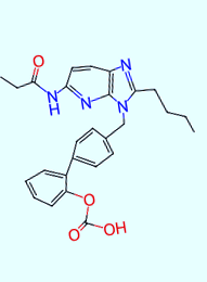 CCCCc1nc2ccc(NC(=O)CC)nc2n1Cc1ccc(-c2ccccc2OC(=O)O)cc1